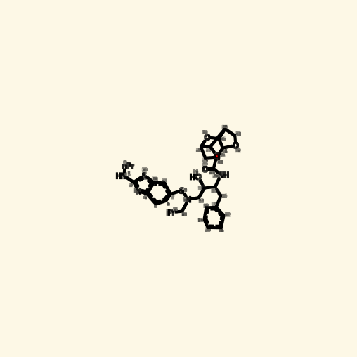 CCCNc1nc2ccc(SN(CC(C)C)C[C@@H](O)[C@H](Cc3ccccc3)NC(=O)OC3C4COC5OCC3C5O4)cc2s1